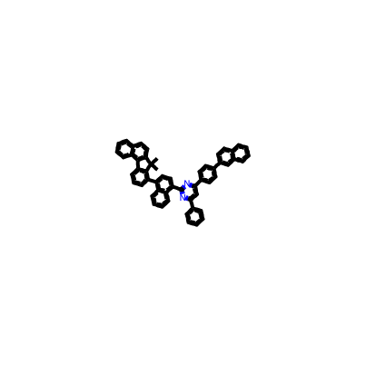 CC1(C)c2ccc3ccccc3c2-c2cccc(-c3ccc(-c4nc(-c5ccccc5)cc(-c5ccc(-c6ccc7ccccc7c6)cc5)n4)c4ccccc34)c21